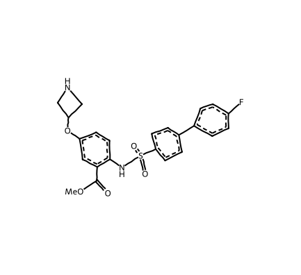 COC(=O)c1cc(OC2CNC2)ccc1NS(=O)(=O)c1ccc(-c2ccc(F)cc2)cc1